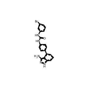 Nc1n[nH]c2cccc(-c3ccc(NC(=O)Nc4cccc(Br)c4)cc3)c12